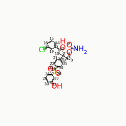 CC(C)(C)C(COC(N)=O)(C[C@@H](O)c1cccc(Cl)c1)c1ccc(S(=O)(=O)c2cccc(O)c2)cc1